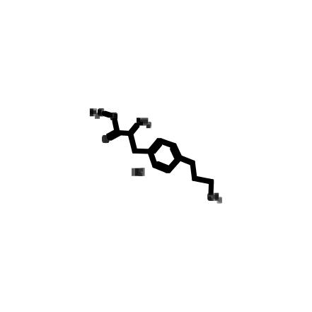 CCCCc1ccc(CC(N)C(=O)OC)cc1.Cl